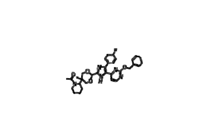 CC(=O)N1CCCCC1C1(C)COC(c2nc(-c3ccc(F)cc3)c(-c3ccnc(OCc4ccccc4)n3)[nH]2)OC1